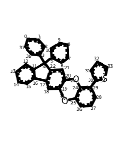 c1ccc(C2(c3ccccc3)c3ccccc3-c3cc4c(cc32)Oc2c(cccc2-c2cccs2)O4)cc1